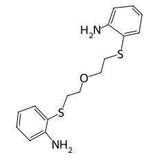 Nc1ccccc1SCCOCCSc1ccccc1N